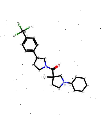 CC1(C(=O)N2CCC(c3ccc(C(F)(F)F)cc3)C2)CCN(C2CCCCC2)C1